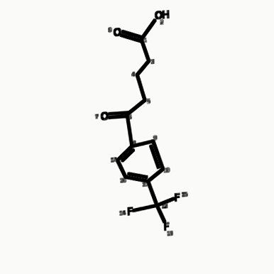 O=C(O)CCCC(=O)c1ccc(C(F)(F)F)cc1